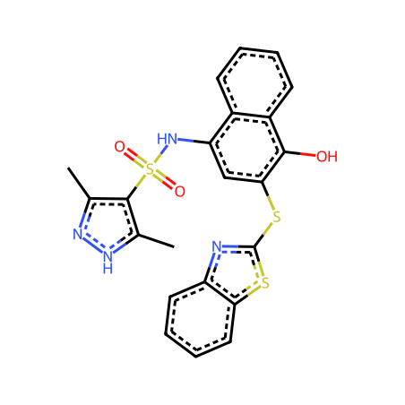 Cc1n[nH]c(C)c1S(=O)(=O)Nc1cc(Sc2nc3ccccc3s2)c(O)c2ccccc12